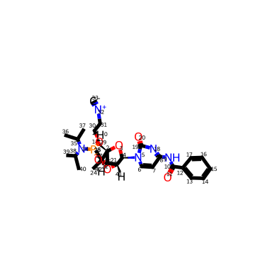 [2H]C[C@]12O[C@@H](n3ccc(NC(=O)c4ccccc4)nc3=O)[C@H](OC1(C)C)[C@@H]2OP(OCC[N+]#[C-])N(C(C)C)C(C)C